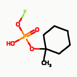 CC1(OP(=O)(O)OF)CCCCC1